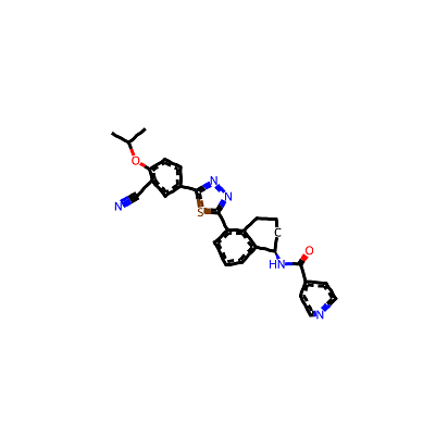 CC(C)Oc1ccc(-c2nnc(-c3cccc4c3CCC[C@H]4NC(=O)c3ccncc3)s2)cc1C#N